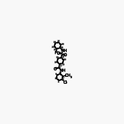 Cc1c(Cl)cccc1NC(=O)c1ccc(S(=O)(=O)Nc2ccccc2F)cc1